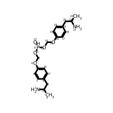 CC(N)Cc1ccc(OCO[PH](=O)OCOc2ccc(CC(C)N)cc2)cc1